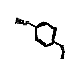 C=[C]c1ccc(C(=O)O)cc1